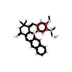 COc1ccc(-[n+]2c3c(cc4cc5ccccc5cc42)C(=O)CC(C)(C)/C3=C/c2ccc(N(C)C)cc2)cc1.[Br-]